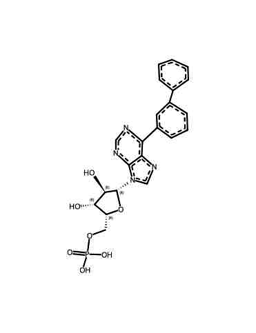 O=P(O)(O)OC[C@H]1O[C@@H](n2cnc3c(-c4cccc(-c5ccccc5)c4)ncnc32)[C@H](O)[C@H]1O